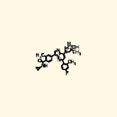 Cc1cc(-c2cnc3c(NCC(C)(C)O)cc(-c4ccc(F)cc4C)nn23)ccc1C(=O)NC1CC1